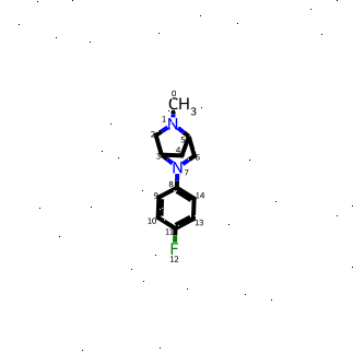 CN1CC2CC1CN2c1ccc(F)cc1